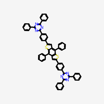 c1ccc(-c2nc(-c3ccccc3)nc(-c3ccc(-c4cc5c(-c6ccccc6)c6sc(-c7ccc(-c8nc(-c9ccccc9)nc(-c9ccccc9)n8)cc7)cc6c(-c6ccccc6)c5s4)cc3)n2)cc1